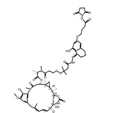 COc1cc2cc(c1Cl)N(C)C(=O)C[C@H](OC(=O)[C@H](C)N(C)C(=O)CCSSC(C)(C)CC(=O)N/N=C1\CCCc3cc(OCCCC(=O)ON4C(=O)CCC4=O)cc(O)c31)[C@@]1(C)C[C@H]1[C@H](C)[C@@H]1C[C@@](O)(NC(=O)O1)[C@H](OC)/C=C/C=C(\C)C2